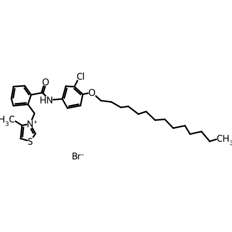 CCCCCCCCCCCCCCOc1ccc(NC(=O)c2ccccc2C[n+]2cscc2C)cc1Cl.[Br-]